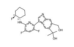 CC(C)(O)c1cn2c(-c3nc(N[C@H]4CCCC[C@@H]4F)c(F)cc3F)cnc2cc1CO